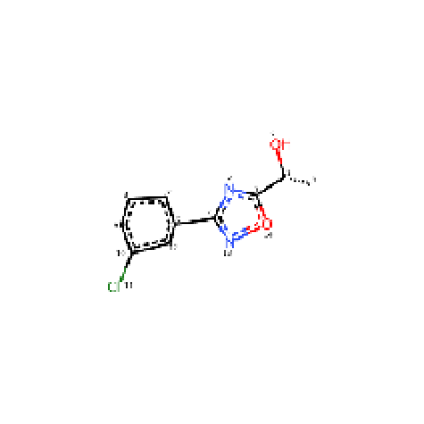 C[C@@H](O)c1nc(-c2cccc(Cl)c2)no1